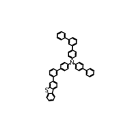 c1ccc(-c2ccc(N(c3ccc(-c4cccc(-c5ccccc5)c4)cc3)c3ccc(-c4cccc(-c5ccc6c(c5)sc5ccccc56)c4)cc3)cc2)cc1